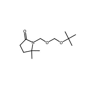 CC(C)(C)OCOCN1C(=O)CCC1(C)C